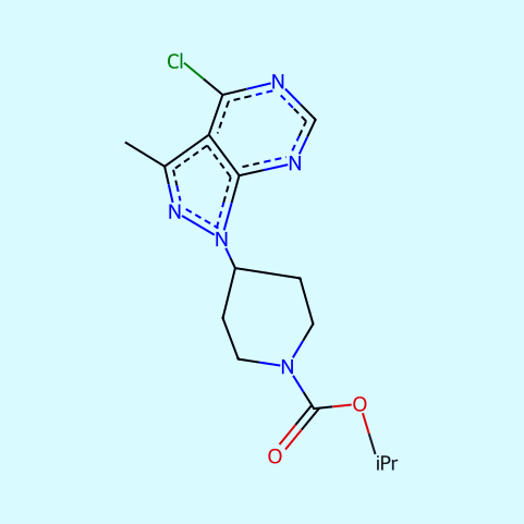 Cc1nn(C2CCN(C(=O)OC(C)C)CC2)c2ncnc(Cl)c12